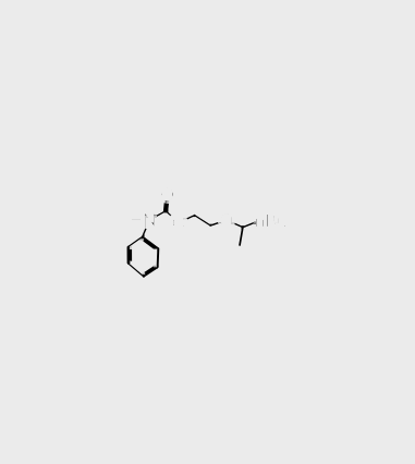 CCCCC(C)OCCOC(=O)Nc1ccccc1